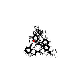 CCC(Oc1ccccc1Br)C(=O)O[C@H]1C[C@H](C(C)(C)C)C=C2C=C[C@H](C)[C@](CC[C@@H]3C[C@H](C(C)(C)C)C(O[SiH](C)C)C(=O)O3)(O[SiH](C)C)[C@H]21